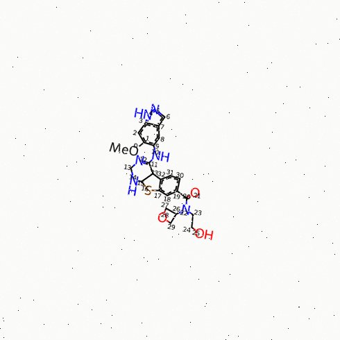 COc1cc2[nH]ncc2cc1NC1=NCNC2Sc3cc(C(=O)N(CCO)C4COC4)ccc3C12